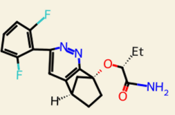 CC[C@@H](O[C@]12CC[C@H](C1)c1cc(-c3c(F)cccc3F)nnc12)C(N)=O